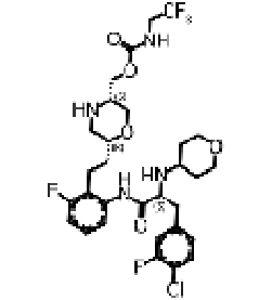 O=C(NCC(F)(F)F)OC[C@@H]1CO[C@H](CCc2c(F)cccc2NC(=O)[C@H](Cc2ccc(Cl)c(F)c2)NC2CCOCC2)CN1